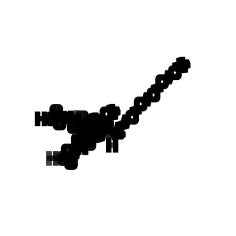 CC(CCCOCCOCCOCCOCCOCC(C)(C)C)Nc1cc(OC(C)(C)C)c2ccc3c(S(=O)(=O)N(C)CCS(=O)(=O)O)cc(S(=O)(=O)N(C)CCS(=O)(=O)O)c4ccc1c2c43